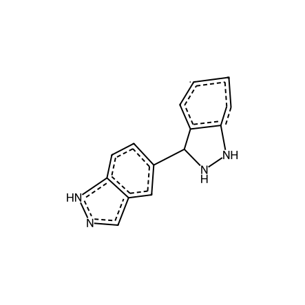 [c]1ccc2c(c1)C(c1ccc3[nH]ncc3c1)NN2